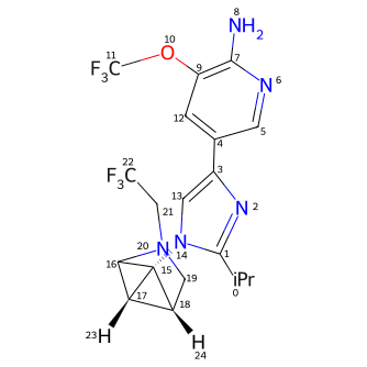 CC(C)c1nc(-c2cnc(N)c(OC(F)(F)F)c2)cn1[C@@]12C3[C@H]1[C@H]2CN3CC(F)(F)F